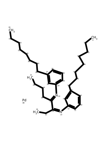 CCCCCCCCc1cccc(N=C(CC)C(CCCC)=Nc2cccc(CCCCCCCC)c2)c1.[Pd]